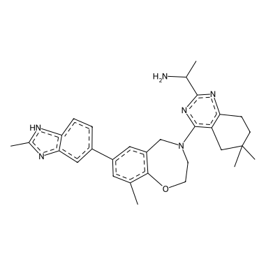 Cc1nc2cc(-c3cc(C)c4c(c3)CN(c3nc(C(C)N)nc5c3CC(C)(C)CC5)CCO4)ccc2[nH]1